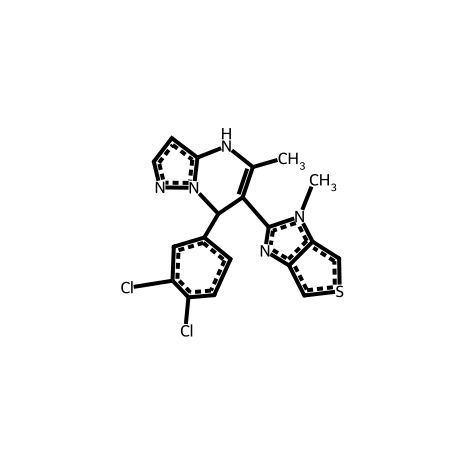 CC1=C(c2nc3cscc3n2C)C(c2ccc(Cl)c(Cl)c2)n2nccc2N1